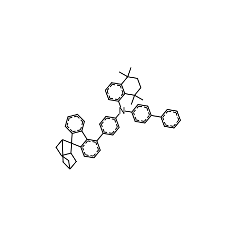 CC1(C)CCC(C)(C)c2c(N(c3ccc(-c4ccccc4)cc3)c3ccc(-c4cccc5c4-c4ccccc4C54C5CC6CC(C5)C4C6)cc3)cccc21